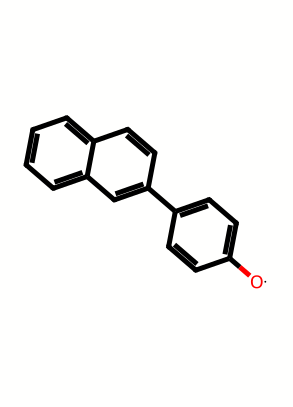 [O]c1ccc(-c2ccc3ccccc3c2)cc1